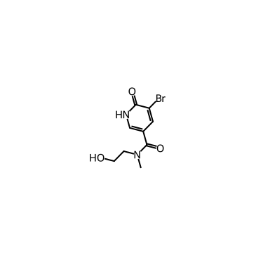 CN(CCO)C(=O)c1c[nH]c(=O)c(Br)c1